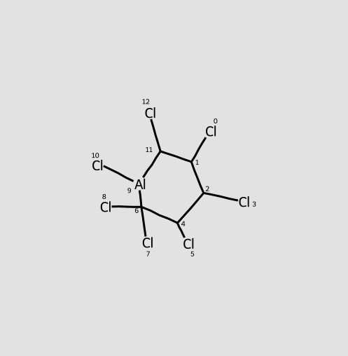 ClC1C(Cl)C(Cl)[C](Cl)(Cl)[Al]([Cl])[CH]1Cl